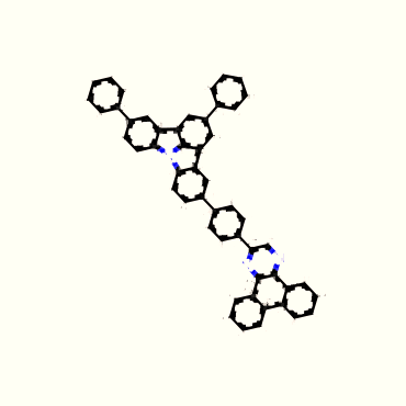 c1ccc(-c2ccc3c(c2)c2cc(-c4ccccc4)cc4c5cc(-c6ccc(-c7cnc8c9ccccc9c9ccccc9c8n7)cc6)ccc5n3c24)cc1